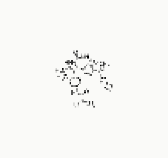 C=C(Cl)C(=O)Nc1ccc(-c2c(C)[nH]c(C(N)=O)c2-c2ccc(C(=O)NCC3CCC3)c(OC)c2)c(C)c1